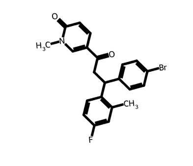 Cc1cc(F)ccc1C(CC(=O)c1ccc(=O)n(C)c1)c1ccc(Br)cc1